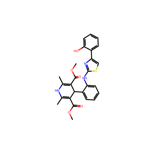 COC(=O)C1=C(C)NC(C)=C(C(=O)OC)C1c1ccccc1Nc1nc(-c2ccccc2O)cs1